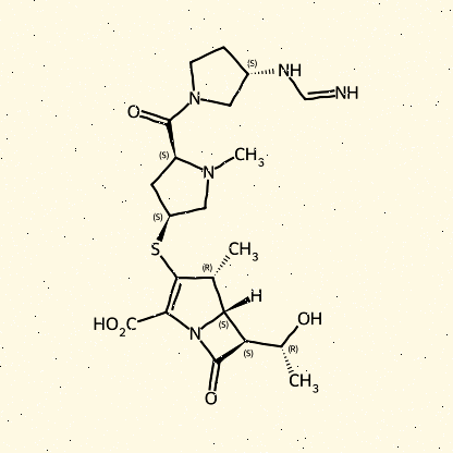 C[C@@H](O)[C@H]1C(=O)N2C(C(=O)O)=C(S[C@H]3C[C@@H](C(=O)N4CC[C@H](NC=N)C4)N(C)C3)[C@H](C)[C@H]12